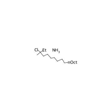 CCCCCCCCCCCCCCCC(C)(Cl)CC.N